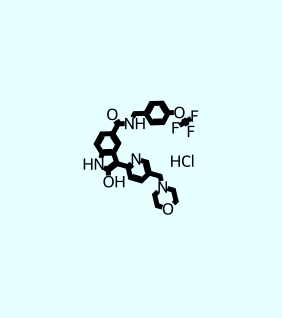 Cl.O=C(NCc1ccc(OC(F)(F)F)cc1)c1ccc2[nH]c(O)c(-c3ccc(CN4CCOCC4)cn3)c2c1